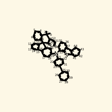 CC1(C)c2ccccc2C2(c3ccccc3-c3ccc(N(c4ccc(-c5ccccc5)cc4)c4cccc5c4sc4ccccc45)cc32)c2ccccc21